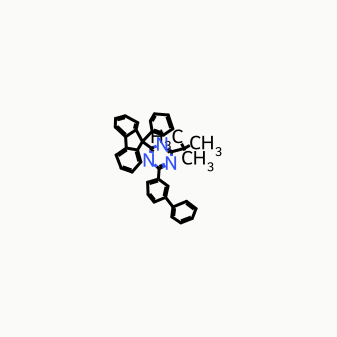 CC(C)(C)c1nc(-c2cccc(-c3ccccc3)c2)nc(C2(c3ccccc3)c3ccccc3-c3ccccc32)n1